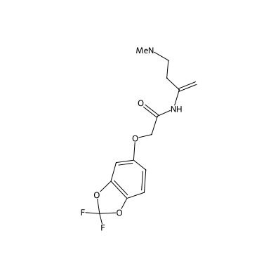 C=C(CCNC)NC(=O)COc1ccc2c(c1)OC(F)(F)O2